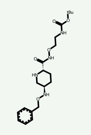 CC(C)(C)OC(=O)NCCONC(=O)[C@@H]1CC[C@@H](NOCc2ccccc2)CN1